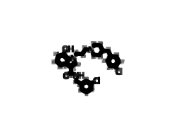 O=C(NCc1cccc(Cl)c1)c1cn(CCCN2CCC(Cc3ccc(Cl)cc3)CC2)c2c(O)cccc12